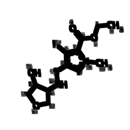 CCOC(=O)c1c(F)c(SNC2COCC2O)cn1C